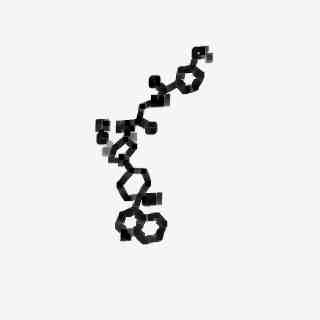 CCO[C@H]1CN(C2CCC(O)(c3ccnc4ccccc34)CC2)C[C@@H]1NC(=O)CNC(=O)c1cccc(C(F)(F)F)c1